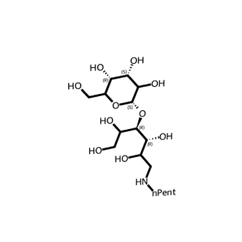 CCCCCNCC(O)[C@@H](O)[C@H](O[C@@H]1OC(CO)[C@H](O)[C@H](O)C1O)C(O)CO